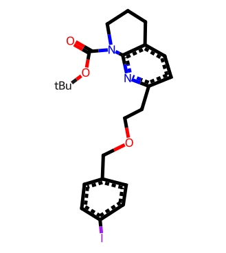 CC(C)(C)OC(=O)N1CCCc2ccc(CCOCc3ccc(I)cc3)nc21